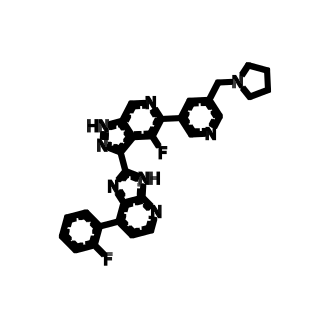 Fc1ccccc1-c1ccnc2[nH]c(-c3n[nH]c4cnc(-c5cncc(CN6CCCC6)c5)c(F)c34)nc12